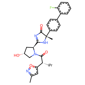 Cc1cc([C@H](C(=O)N2C[C@H](O)C[C@H]2C2=NC(=O)[C@](C)(c3ccc(-c4ccccc4F)cc3)N2)C(C)C)on1